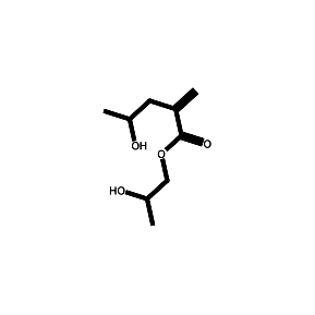 C=C(CC(C)O)C(=O)OCC(C)O